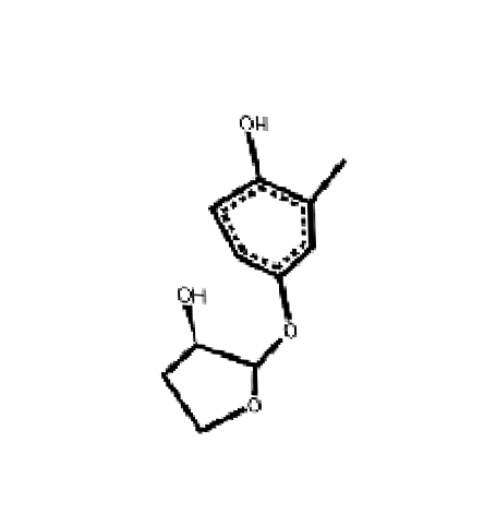 Cc1cc(OC2OCC[C@H]2O)ccc1O